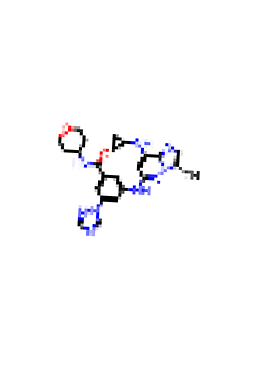 N#Cc1cnc2c(NC3CC3)cc(Nc3cc(C(=O)NC4CCOCC4)cc(-n4cncn4)c3)nn12